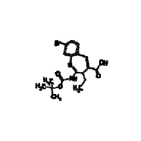 CCC1C(C(=O)O)=Cc2ccc(Br)cc2N=C1NC(=O)OC(C)(C)C